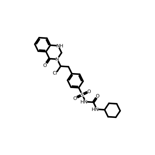 O=C(NC1CCCCC1)NS(=O)(=O)c1ccc(CC(Cl)N2CNc3ccccc3C2=O)cc1